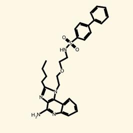 CCCCc1nc2c(N)nc3ccccc3c2n1CCOCCNS(=O)(=O)c1ccc(-c2ccccc2)cc1